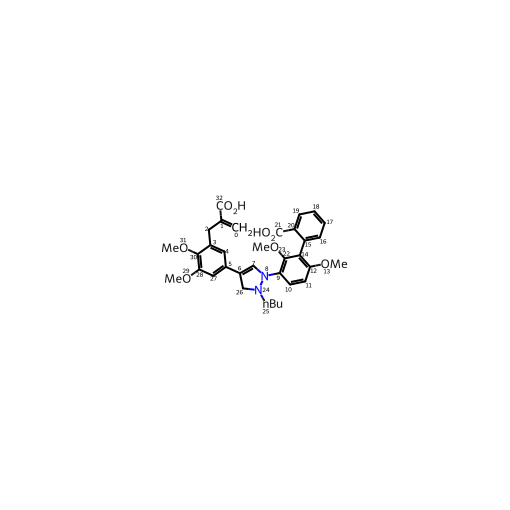 C=C(Cc1cc(C2=CN(c3ccc(OC)c(-c4ccccc4C(=O)O)c3OC)N(CCCC)C2)cc(OC)c1OC)C(=O)O